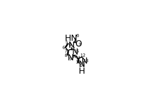 CNC(=O)n1ccc2cnc(-c3cn[nH]c3)nc21